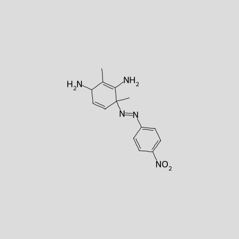 CC1=C(N)C(C)(/N=N/c2ccc([N+](=O)[O-])cc2)C=CC1N